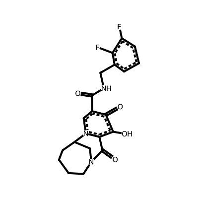 O=C(NCc1cccc(F)c1F)c1cn2c(c(O)c1=O)C(=O)N1CCCCC2C1